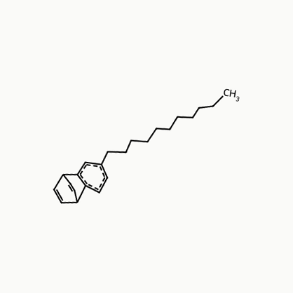 CCCCCCCCCCCc1ccc2c(c1)C1C=CC2C=C1